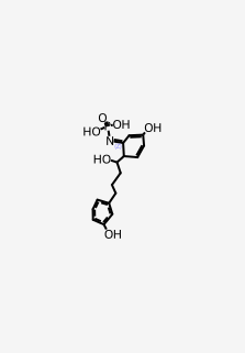 O=P(O)(O)/N=C1\C=C(O)C=CC1C(O)CCCc1cccc(O)c1